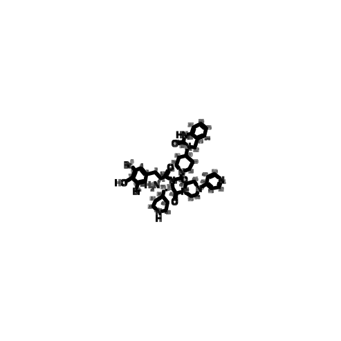 N[C@H](Cc1cc(Br)c(O)c(Br)c1)C(=O)N(C(=O)N1CCC(N2Cc3ccccc3NC2=O)CC1)[C@@H](CC1CCNCC1)C(=O)N1CCN(c2ccncc2)CC1